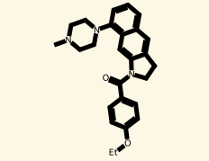 CCOc1ccc(C(=O)N2CCc3cc4cccc(N5CCN(C)CC5)c4cc32)cc1